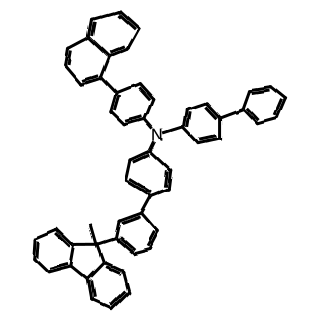 CC1(c2cccc(-c3ccc(N(c4ccc(-c5ccccc5)cc4)c4ccc(-c5cccc6ccccc56)cc4)cc3)c2)c2ccccc2-c2ccccc21